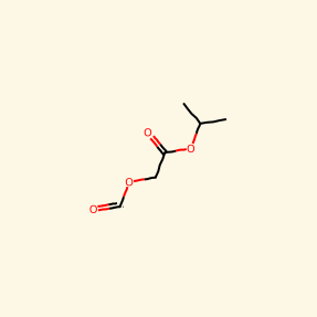 CC(C)OC(=O)CO[C]=O